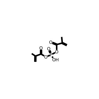 C=C(C)C(=O)OP(=O)(O)OC(=O)C(=C)C